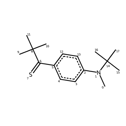 CN(c1ccc(C(=S)C(C)(C)C)cc1)C(C)(C)C